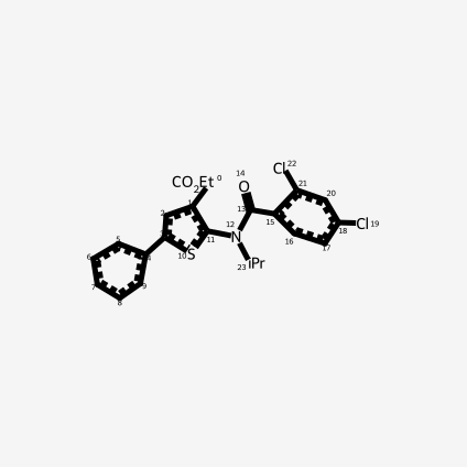 CCOC(=O)c1cc(-c2ccccc2)sc1N(C(=O)c1ccc(Cl)cc1Cl)C(C)C